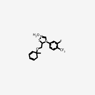 CC1(OCC2SN=CN2c2ccc(C(F)(F)F)c(F)c2)C=CC=CC1.O